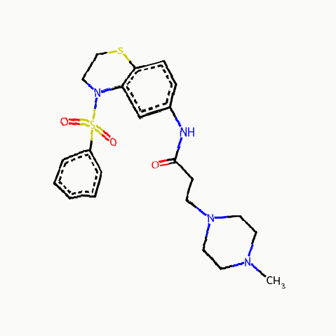 CN1CCN(CCC(=O)Nc2ccc3c(c2)N(S(=O)(=O)c2ccccc2)CCS3)CC1